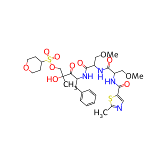 COCC(NC(=O)c1cnc(C)s1)C(=O)NC(COC)C(=O)NC(Cc1ccccc1)C(=O)C(C)(O)COS(=O)(=O)C1CCOCC1